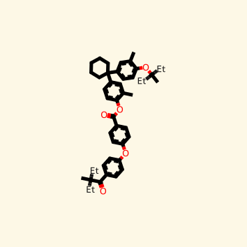 CCC(C)(CC)Oc1ccc(C2(c3ccc(OC(=O)c4ccc(Oc5ccc(C(=O)C(C)(CC)CC)cc5)cc4)c(C)c3)CCCCC2)cc1C